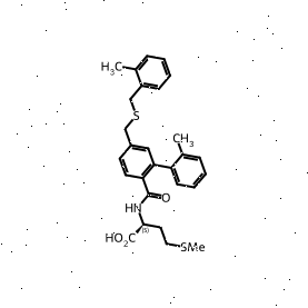 CSCC[C@H](NC(=O)c1ccc(CSCc2ccccc2C)cc1-c1ccccc1C)C(=O)O